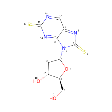 OC[C@@H]1O[C@@H](N2C(=S)N=C3C=NC(=S)N=C32)C[C@H]1O